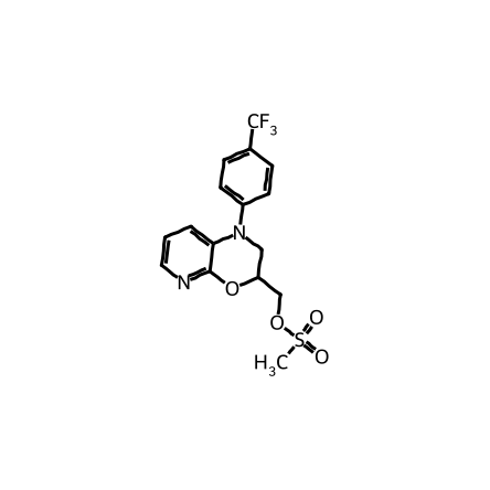 CS(=O)(=O)OCC1CN(c2ccc(C(F)(F)F)cc2)c2cccnc2O1